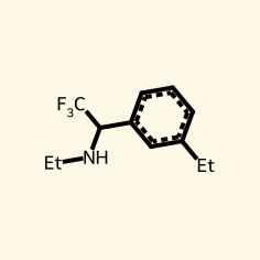 CCNC(c1cccc(CC)c1)C(F)(F)F